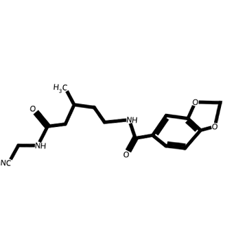 CC(CCNC(=O)c1ccc2c(c1)OCO2)CC(=O)NCC#N